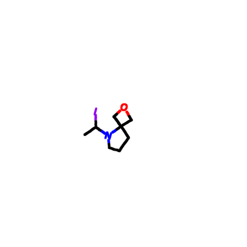 CC(I)N1CCCC12COC2